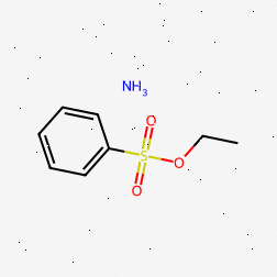 CCOS(=O)(=O)c1ccccc1.N